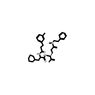 C=C(C)[C@H](CCC(=C)N(C)CCc1ccccc1)NC(=O)C(CC1CCCCC1)NC(=O)CCc1cccc(C)c1